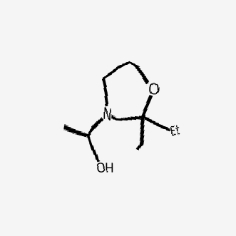 CCC1(C)OCCN1C(C)O